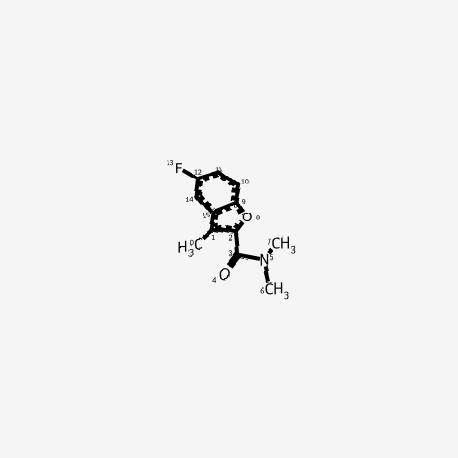 Cc1c(C(=O)N(C)C)oc2ccc(F)cc12